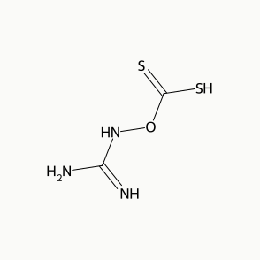 N=C(N)NOC(=S)S